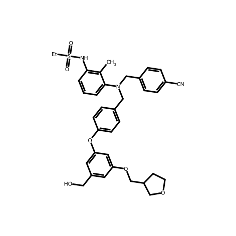 CCS(=O)(=O)Nc1cccc(N(Cc2ccc(C#N)cc2)Cc2ccc(Oc3cc(CO)cc(OCC4CCOC4)c3)cc2)c1C